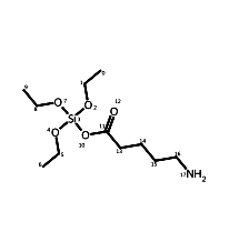 CCO[Si](OCC)(OCC)OC(=O)CCCCN